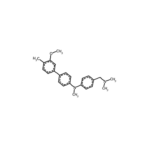 COc1cc(-c2ccc(N(C)c3ccc(CN(C)C)cc3)cc2)ccc1C